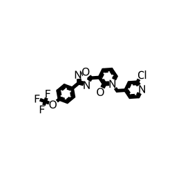 O=c1c(-c2nc(-c3ccc(OC(F)(F)F)cc3)no2)cccn1Cc1ccnc(Cl)c1